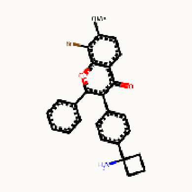 COc1ccc2c(=O)c(-c3ccc(C4(N)CCC4)cc3)c(-c3ccccc3)oc2c1Br